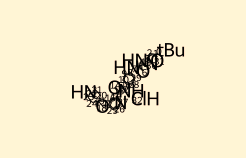 CC(C)(C)c1cc(NC(=O)Nc2ccc(NC(=O)c3cc(OC4CCNCC4)ccn3)cc2)no1.Cl